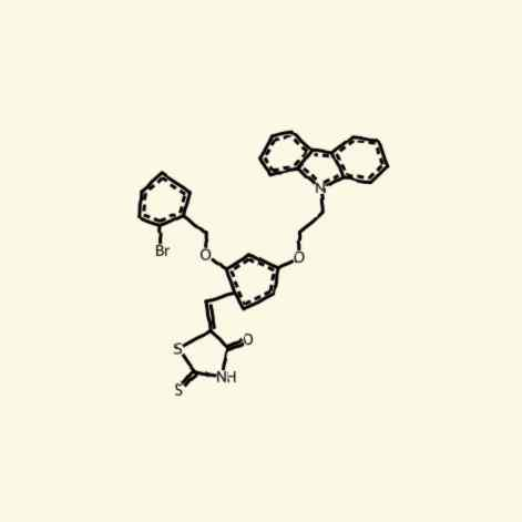 O=C1NC(=S)SC1=Cc1ccc(OCCn2c3ccccc3c3ccccc32)cc1OCc1ccccc1Br